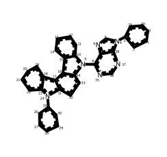 c1ccc(-n2cnc3c(-n4c5ccccc5c5c6c7ccccc7n(-c7ccccc7)c6ccc54)ncnc32)cc1